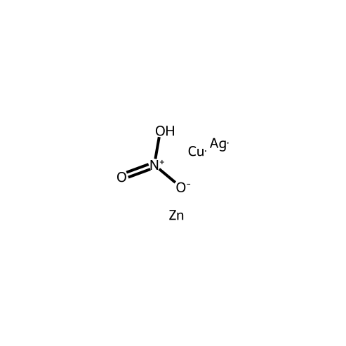 O=[N+]([O-])O.[Ag].[Cu].[Zn]